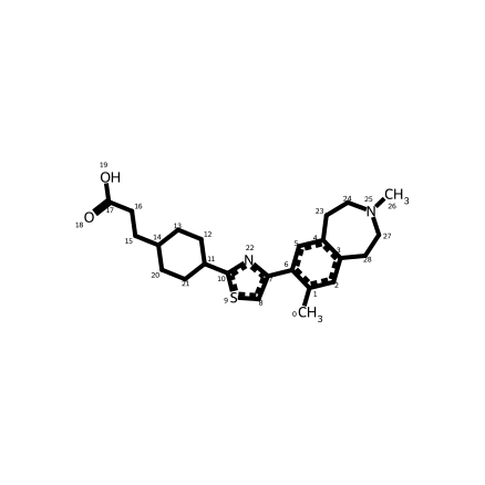 Cc1cc2c(cc1-c1csc(C3CCC(CCC(=O)O)CC3)n1)CCN(C)CC2